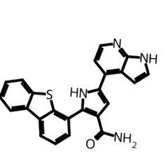 NC(=O)c1cc(-c2ccnc3[nH]ccc23)[nH]c1-c1cccc2c1sc1ccccc12